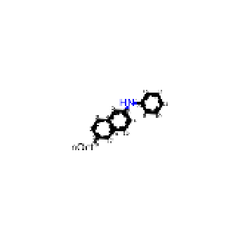 CCCCCCCCc1ccc2cc(Nc3ccccc3)ccc2c1